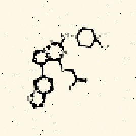 C[C@]1(O)CC[C@H](Nc2nc(OCC(F)F)c3c(-c4ccc5ncnn5c4)ccn3n2)CC1